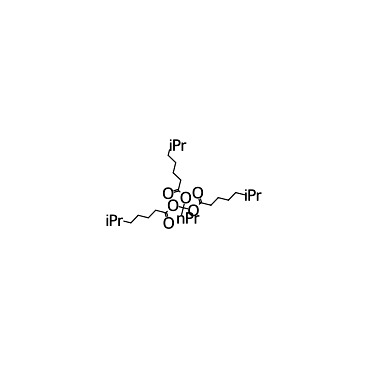 [CH2]CCC(OC(=O)CCCCC(C)C)(OC(=O)CCCCC(C)C)OC(=O)CCCCC(C)C